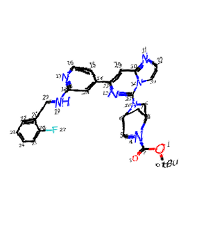 CC(C)(C)OC(=O)N1CC2CC1CN2c1nc(-c2ccnc(NCc3ccccc3F)c2)cc2nccn12